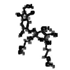 CCN1C(=O)c2cc(C#N)c(/N=N/c3c(NCCCOC)nc(NCCCOC)c(C#N)c3C)cc2C1=O